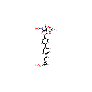 CC(CCc1ccc(-c2ccc(C=CC3C[C@@H]3CO)cc2)cc1)(C(=O)NO)S(C)(=O)=O